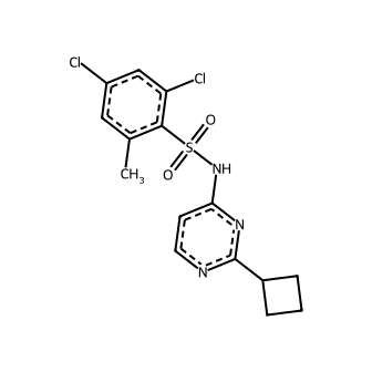 Cc1cc(Cl)cc(Cl)c1S(=O)(=O)Nc1ccnc(C2CCC2)n1